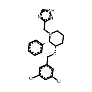 Clc1cc(Cl)cc(CO[C@H]2CCCN(Cc3nc[nH]n3)[C@H]2c2ccccc2)c1